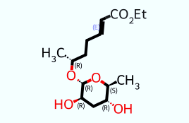 CCOC(=O)/C=C/CC[C@@H](C)O[C@@H]1O[C@@H](C)[C@H](O)C[C@H]1O